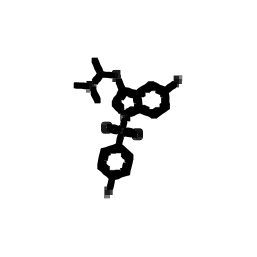 CC(Sc1cn(S(=O)(=O)c2ccc(F)cc2)c2ccc(F)cc12)N(C)C